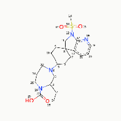 CCC1CN(C2CCC3(CC2)CN(S(C)(=O)=O)c2ncccc23)CCCN1C(=O)O